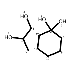 CC(O)CO.OC1(O)CCCCC1